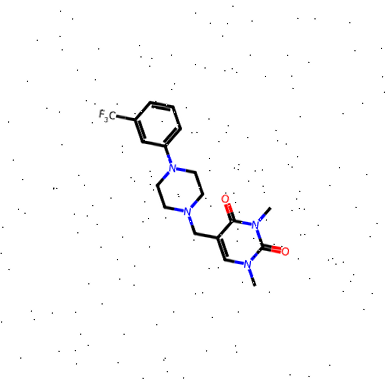 Cn1cc(CN2CCN(c3cccc(C(F)(F)F)c3)CC2)c(=O)n(C)c1=O